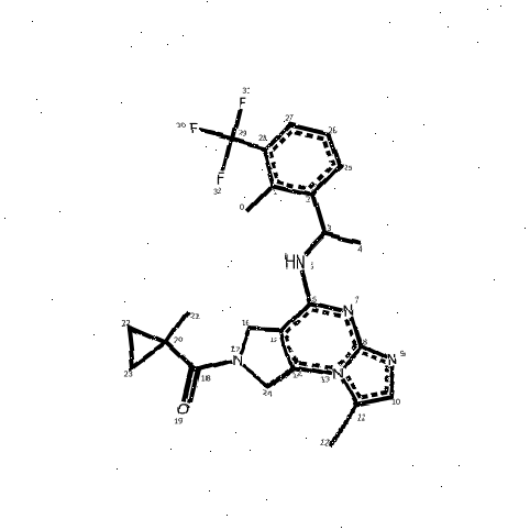 Cc1c(C(C)Nc2nc3ncc(C)n3c3c2CN(C(=O)C2(C)CC2)C3)cccc1C(F)(F)F